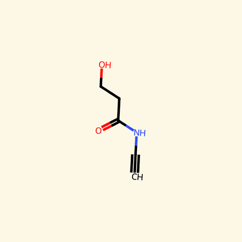 C#CNC(=O)CCO